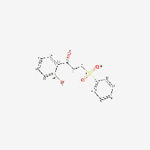 O=C(CCS(=O)(=O)c1ccccc1)c1ccccc1Br